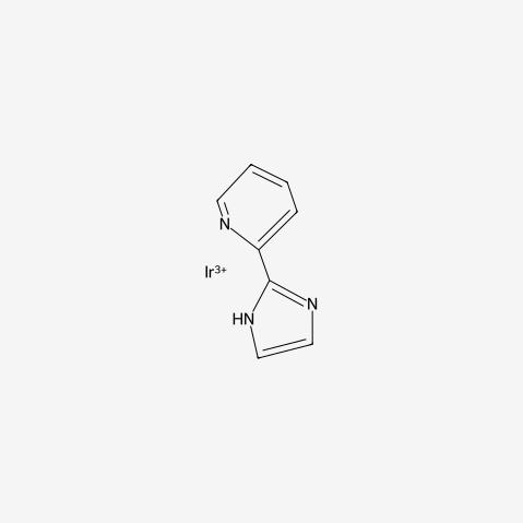 [Ir+3].c1ccc(-c2ncc[nH]2)nc1